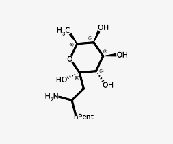 CCCCCC(N)C[C@@]1(O)O[C@@H](C)[C@@H](O)[C@@H](O)[C@@H]1O